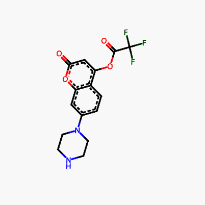 O=C(Oc1cc(=O)oc2cc(N3CCNCC3)ccc12)C(F)(F)F